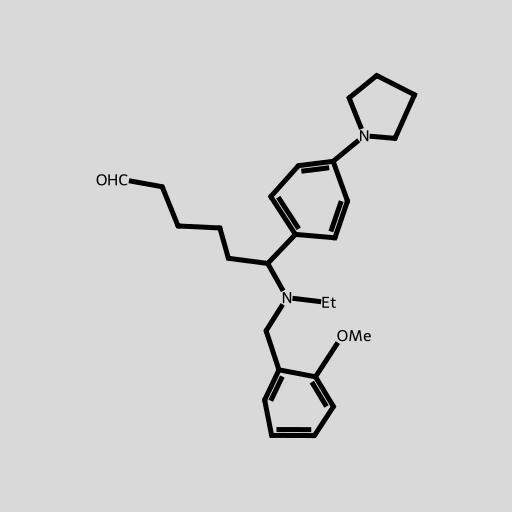 CCN(Cc1ccccc1OC)C(CCCCC=O)c1ccc(N2CCCC2)cc1